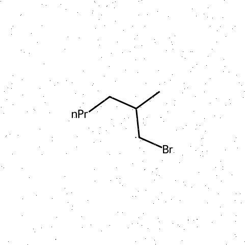 CCCCC(C)[CH]Br